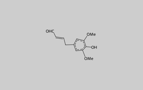 COc1cc(CC=CC=O)cc(OC)c1O